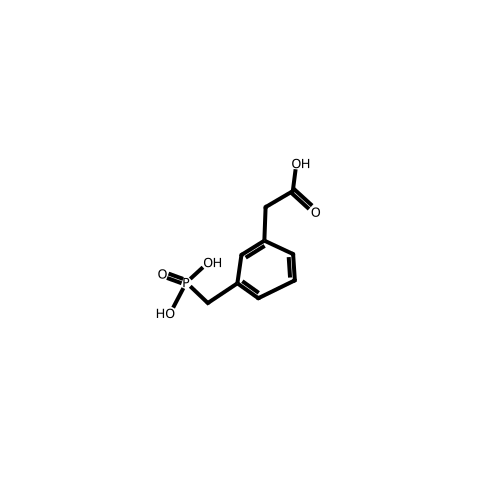 O=C(O)Cc1cccc(CP(=O)(O)O)c1